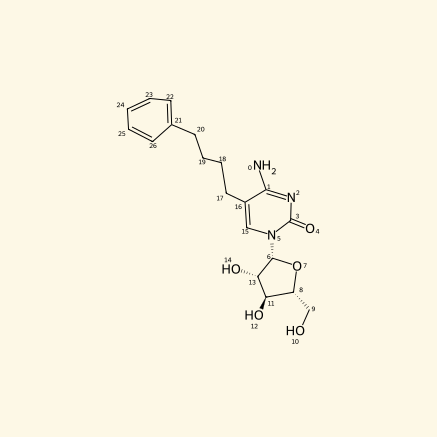 Nc1nc(=O)n([C@@H]2O[C@H](CO)[C@@H](O)[C@@H]2O)cc1CCCCc1ccccc1